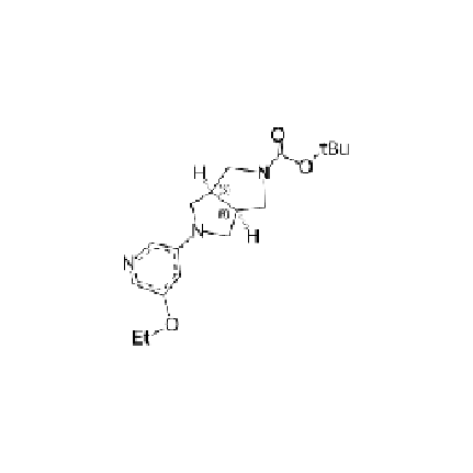 CCOc1cncc(N2C[C@H]3CN(C(=O)OC(C)(C)C)C[C@H]3C2)c1